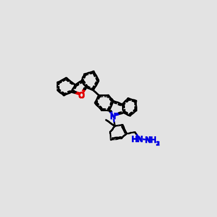 CC1(n2c3ccccc3c3cc(-c4cccc5c4oc4ccccc45)ccc32)C=C(CNN)C=CC1